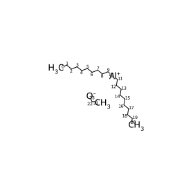 CCCCCCCCC[CH2][Al+][CH2]CCCCCCCCC.CC[O-]